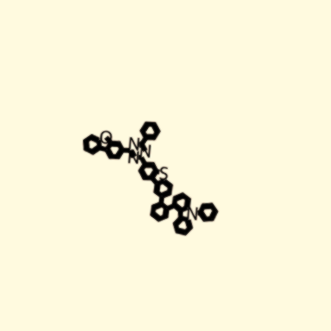 c1ccc(-c2nc(-c3ccc4c(c3)oc3ccccc34)nc(-c3ccc4c(c3)sc3ccc(-c5ccccc5-c5cccc6c5c5ccccc5n6-c5ccccc5)cc34)n2)cc1